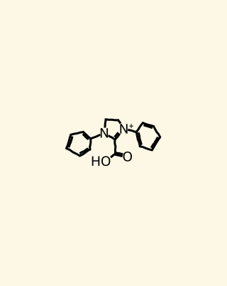 O=C(O)C1=[N+](c2ccccc2)CCN1c1ccccc1